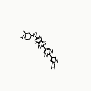 CC1CC(N(C)c2nc3sc(-c4cnc(-c5cn[nH]c5)nc4)nc3s2)CCN1C